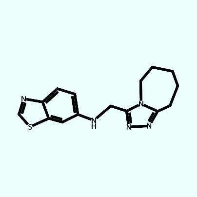 c1nc2ccc(NCc3nnc4n3CCCCC4)cc2s1